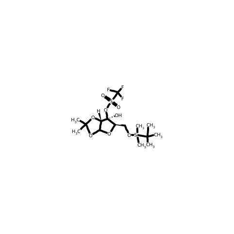 CC1(C)OC2O[C@H](CO[Si](C)(C)C(C)(C)C)[C@](O)(OS(=O)(=O)C(F)(F)F)[C@H]2O1